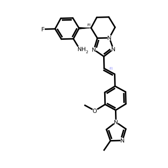 COc1cc(/C=C/c2nc3n(n2)CCC[C@@H]3c2ccc(F)cc2N)ccc1-n1cnc(C)c1